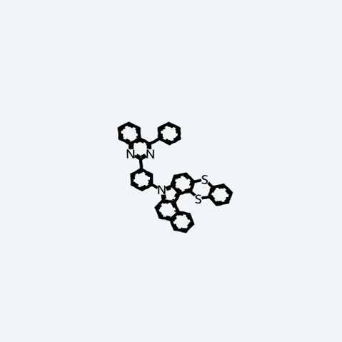 c1ccc(-c2nc(-c3cccc(-n4c5ccc6c(c5c5c7ccccc7ccc54)Sc4ccccc4S6)c3)nc3ccccc23)cc1